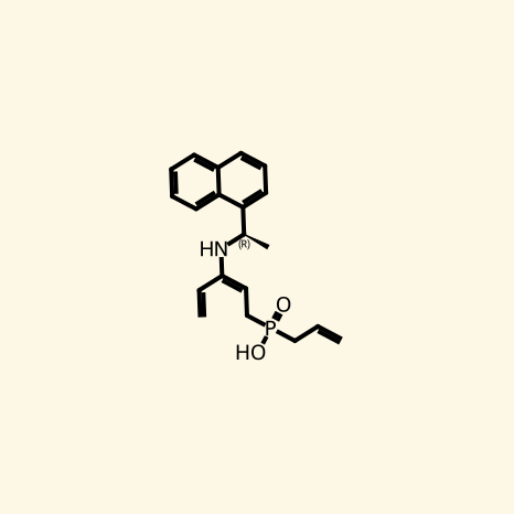 C=CCP(=O)(O)CC=C(C=C)N[C@H](C)c1cccc2ccccc12